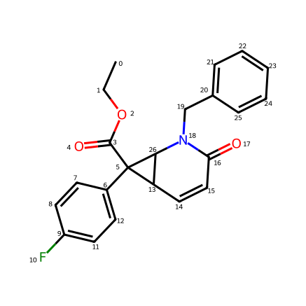 CCOC(=O)C1(c2ccc(F)cc2)C2C=CC(=O)N(Cc3ccccc3)C21